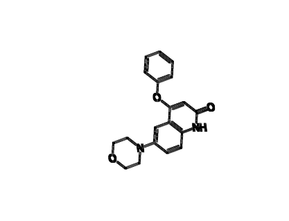 O=c1cc(Oc2ccccc2)c2cc(N3CCOCC3)ccc2[nH]1